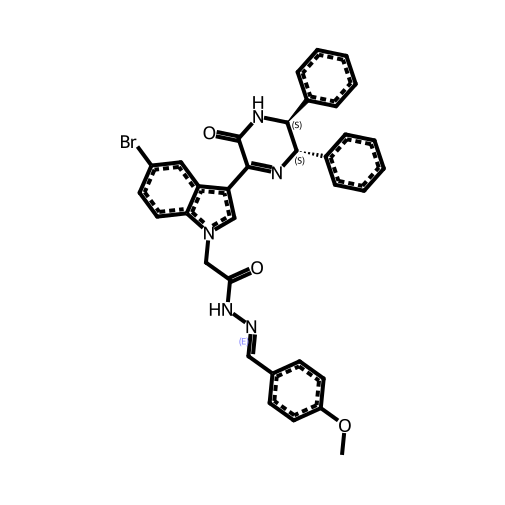 COc1ccc(/C=N/NC(=O)Cn2cc(C3=N[C@@H](c4ccccc4)[C@H](c4ccccc4)NC3=O)c3cc(Br)ccc32)cc1